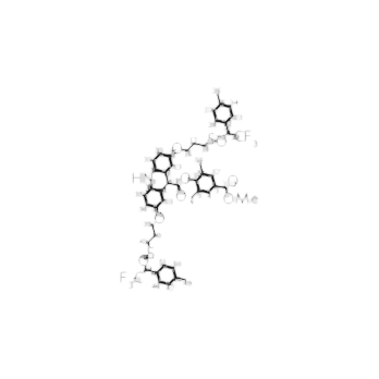 COC(=O)c1cc(C)c(OC(=O)C2c3cc(OCCCSOC(c4ccc(C)cc4)C(F)(F)F)ccc3Nc3ccc(OCCCSOC(c4ccc(C)cc4)C(F)(F)F)cc32)c(C)c1